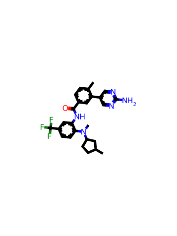 Cc1ccc(C(=O)Nc2cc(C(F)(F)F)ccc2N(C)C2CCC(C)C2)cc1-c1cnc(N)nc1